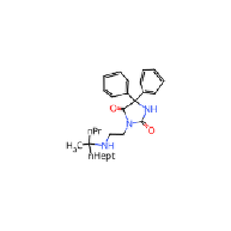 CCCCCCCC(C)(CCC)NCCN1C(=O)NC(c2ccccc2)(c2ccccc2)C1=O